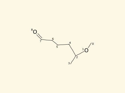 COC(C)CCCC=O